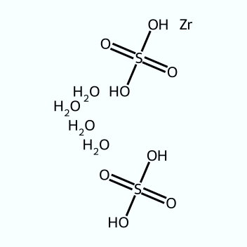 O.O.O.O.O=S(=O)(O)O.O=S(=O)(O)O.[Zr]